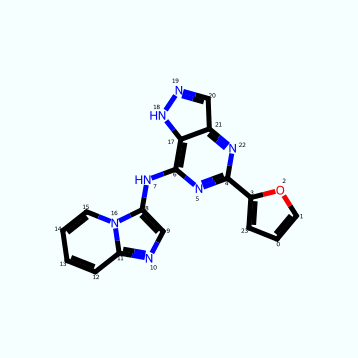 c1coc(-c2nc(Nc3cnc4ccccn34)c3[nH]ncc3n2)c1